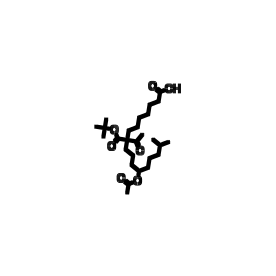 CC(=O)OC(CCCC(C)C)CCCC(CCCCCCC(=O)O)(C(C)=O)C(=O)OC(C)(C)C